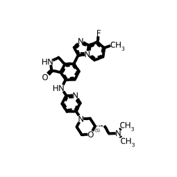 Cc1ccn2c(-c3ccc(Nc4ccc(N5CCO[C@@H](CCN(C)C)C5)cn4)c4c3CNC4=O)cnc2c1F